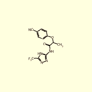 CC(Oc1ccc(C#N)cc1)C(=O)Nc1nnc(C(F)(F)F)[nH]1